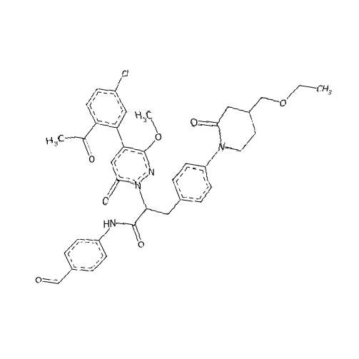 CCOCC1CCN(c2ccc(CC(C(=O)Nc3ccc(C=O)cc3)n3nc(OC)c(-c4cc(Cl)ccc4C(C)=O)cc3=O)cc2)C(=O)C1